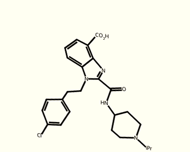 CC(C)N1CCC(NC(=O)c2nc3c(C(=O)O)cccc3n2CCc2ccc(Cl)cc2)CC1